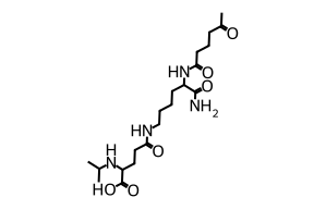 CC(=O)CCCC(=O)NC(CCCCNC(=O)CCC(NC(C)C)C(=O)O)C(N)=O